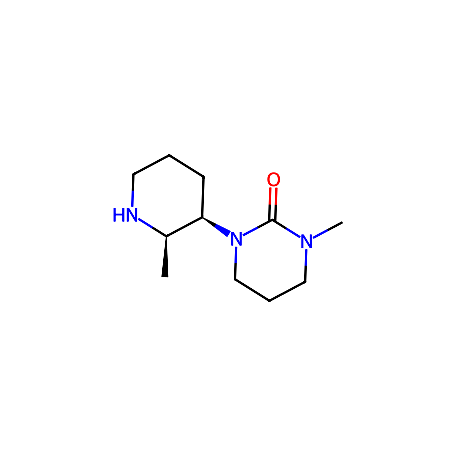 C[C@H]1NCCC[C@H]1N1CCCN(C)C1=O